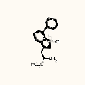 Cl.N[C@@H](Cc1c[nH]c2c(-c3ccccc3)cccc12)C(=O)O